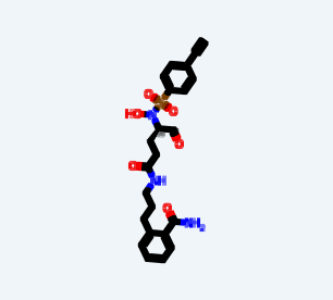 C#Cc1ccc(S(=O)(=O)N(O)[C@@H]([C]=O)CCC(=O)NCCCc2ccccc2C(N)=O)cc1